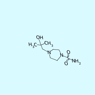 CC(C)(O)CN1CCN(S(N)(=O)=O)CC1